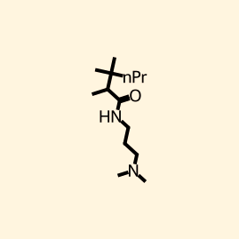 CCCC(C)(C)C(C)C(=O)NCCCN(C)C